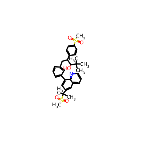 CC(C)(C)C(O)C(Cc1cccc(-c2cc(C(C)(C)S(C)(=O)=O)cc3cccnc23)c1)c1ccc(S(C)(=O)=O)cc1